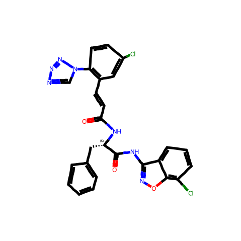 O=C(C=Cc1cc(Cl)ccc1-n1cnnn1)N[C@@H](Cc1ccccc1)C(=O)Nc1noc2c(Cl)cccc12